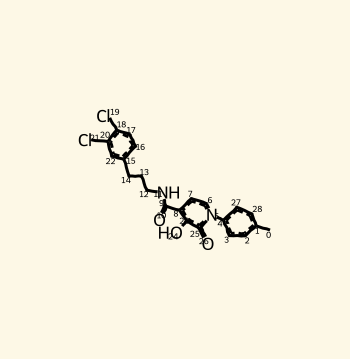 Cc1ccc(-n2ccc(C(=O)NCCCc3ccc(Cl)c(Cl)c3)c(O)c2=O)cc1